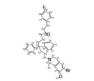 COc1cc2c(cc1Br)CCN(CCCC(CCCC(=O)CCc1ccc(F)cc1)(c1ccccc1)c1ccccc1)C2C